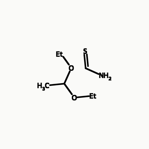 CCOC(C)OCC.NC=S